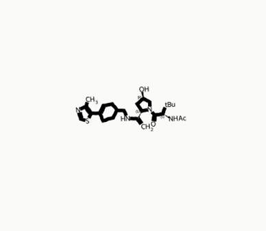 C=C(NCC1CC=C(c2scnc2C)CC1)[C@@H]1C[C@@H](O)CN1C(=O)[C@@H](NC(C)=O)C(C)(C)C